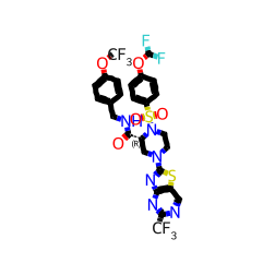 O=C(NCc1ccc(OC(F)(F)F)cc1)[C@H]1CN(c2nc3nc(C(F)(F)F)ncc3s2)CCN1S(=O)(=O)c1ccc(OC(F)F)cc1